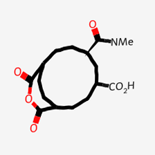 CNC(=O)[C@@H]1CCC2CCC(CCC(C(=O)O)C1)C(=O)OC2=O